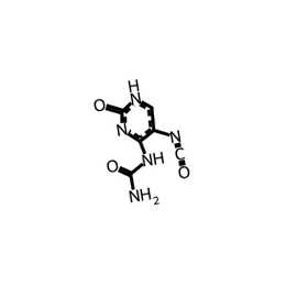 NC(=O)Nc1nc(=O)[nH]cc1N=C=O